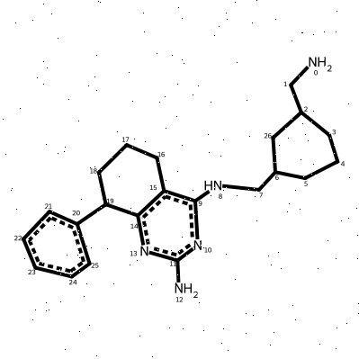 NCC1CCCC(CNc2nc(N)nc3c2CCCC3c2ccccc2)C1